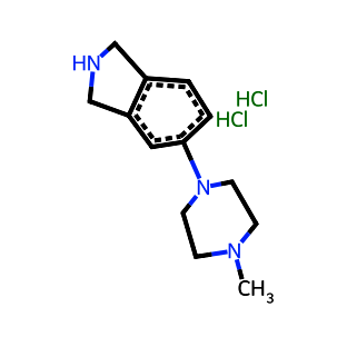 CN1CCN(c2ccc3c(c2)CNC3)CC1.Cl.Cl